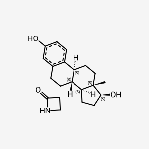 C[C@]12CC[C@@H]3c4ccc(O)cc4CC[C@H]3[C@@H]1CC[C@@H]2O.O=C1CCN1